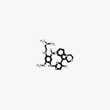 COc1cc(NCCN(C)C)c([N+](=O)[O-])cc1Nc1ncc(Cl)c(-c2c3n(c4ccccc24)CCOC3)n1